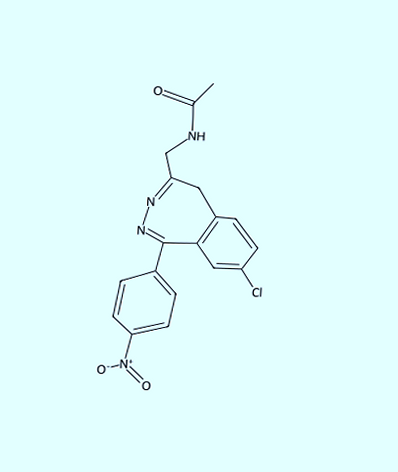 CC(=O)NCC1=NN=C(c2ccc([N+](=O)[O-])cc2)c2cc(Cl)ccc2C1